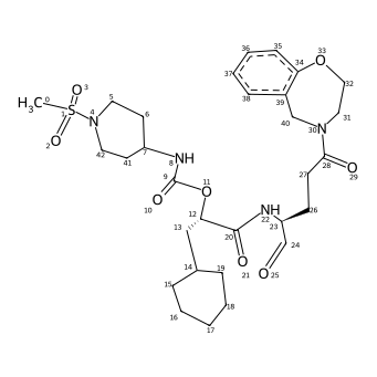 CS(=O)(=O)N1CCC(NC(=O)O[C@@H](CC2CCCCC2)C(=O)N[C@H](C=O)CCC(=O)N2CCOc3ccccc3C2)CC1